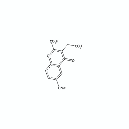 COc1ccc2oc(C(=O)O)c(CC(=O)O)c(=O)c2c1